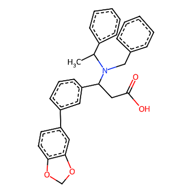 CC(c1ccccc1)N(Cc1ccccc1)C(CC(=O)O)c1cccc(-c2ccc3c(c2)OCO3)c1